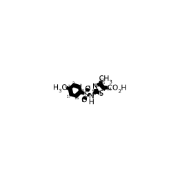 Cc1ccc(S(=O)(=O)Nc2nc(C)c(C(=O)O)s2)cc1